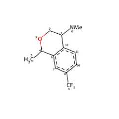 CNC1COC(C)c2cc(C(F)(F)F)ccc21